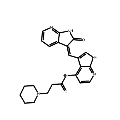 O=C(CCN1CCCCC1)Nc1ccnc2[nH]cc(C=C3C(=O)Nc4ncccc43)c12